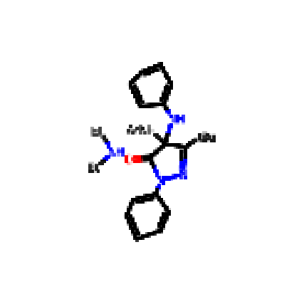 CC(=O)NC1(Nc2ccccc2)C(=O)N(c2ccccc2)N=C1C(C)(C)C.CCNCC